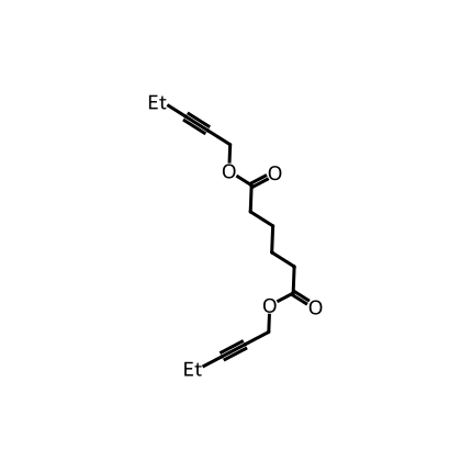 CCC#CCOC(=O)CCCCC(=O)OCC#CCC